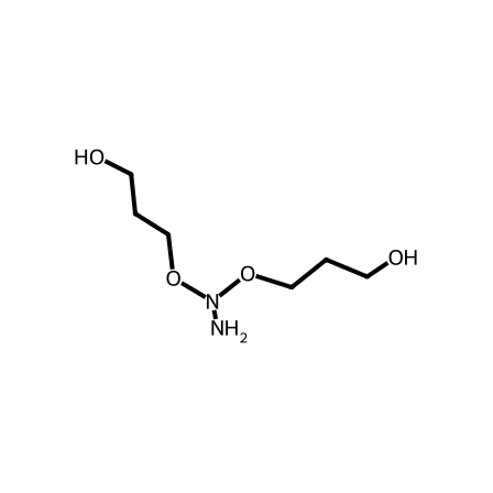 NN(OCCCO)OCCCO